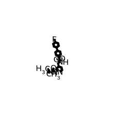 CN(C)c1nc2nccc(CNS(=O)(=O)c3ccc(-c4ccc(F)cc4)cc3)c2o1